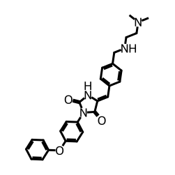 CN(C)CCNCc1ccc(/C=C2\NC(=O)N(c3ccc(Oc4ccccc4)cc3)C2=O)cc1